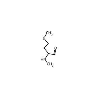 CNC([C]=O)CCSC